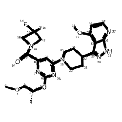 COC[C@@H](C)Oc1nc(C(=O)N2CC(F)(F)C2)cc(N2CCC(c3n[nH]c4nccc(OC)c34)CC2)n1